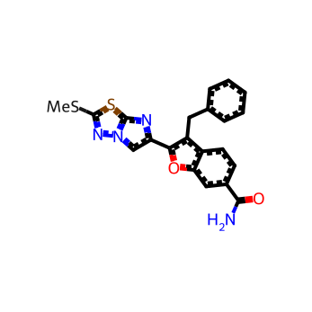 CSc1nn2cc(-c3oc4cc(C(N)=O)ccc4c3Cc3ccccc3)nc2s1